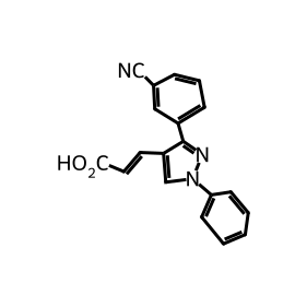 N#Cc1cccc(-c2nn(-c3ccccc3)cc2/C=C/C(=O)O)c1